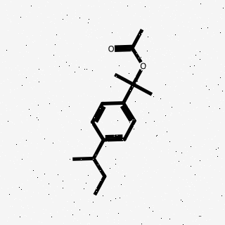 CCC(C)c1ccc(C(C)(C)OC(C)=O)cc1